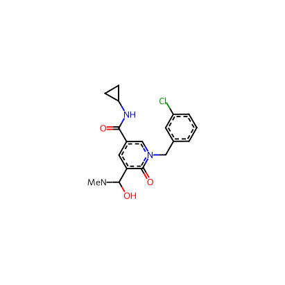 CNC(O)c1cc(C(=O)NC2CC2)cn(Cc2cccc(Cl)c2)c1=O